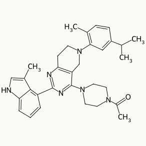 CC(=O)N1CCN(c2nc(-c3cccc4[nH]cc(C)c34)nc3c2CN(c2cc(C(C)C)ccc2C)CC3)CC1